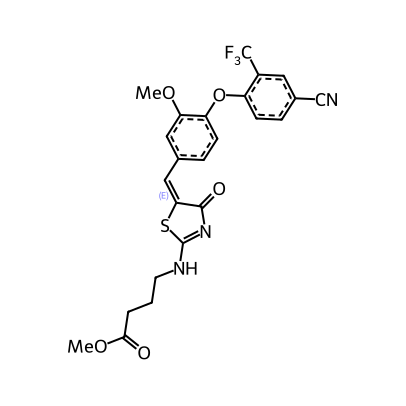 COC(=O)CCCNC1=NC(=O)/C(=C\c2ccc(Oc3ccc(C#N)cc3C(F)(F)F)c(OC)c2)S1